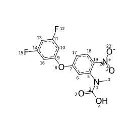 CN(C(=O)O)c1cc(Oc2cc(F)cc(F)c2)ccc1[N+](=O)[O-]